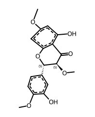 COc1cc(O)c2c(c1)O[C@@H](c1ccc(OC)c(O)c1)[C@H](OC)C2=O